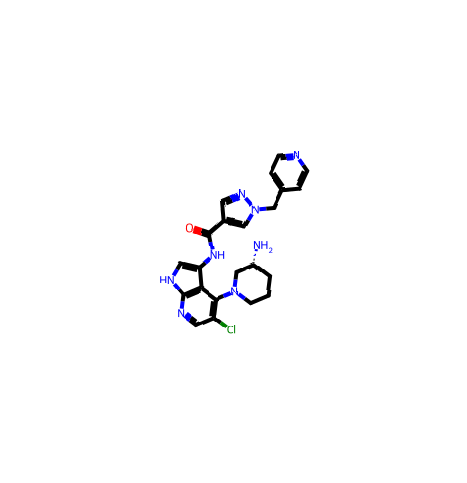 N[C@@H]1CCCN(c2c(Cl)cnc3[nH]cc(NC(=O)c4cnn(Cc5ccncc5)c4)c23)C1